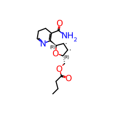 CCCC(=O)OC[C@H]1[CH][CH][C@H](C2=C(C(N)=O)CCC=N2)O1